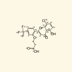 O=C(O)CCOc1cc(C(F)(F)F)ccc1-c1cc(=O)c2c(O)ccc(Cl)c2o1